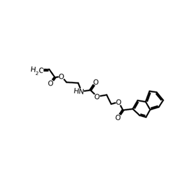 C=CC(=O)OCCNC(=O)OCCOC(=O)c1ccc2ccccc2c1